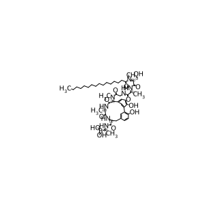 CCCCCCCCCCCCCCCC(=O)N(C)[C@H](CO)C(=O)N[C@H](C)C(=O)NCC(=O)N(C)[C@@H]1C(=O)N[C@@H](C)C(=O)N[C@H](C(=O)N[C@@H](C)B(O)O)Cc2ccc(O)c(c2)-c2cc1ccc2O